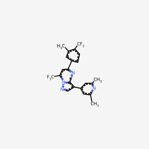 Cc1cc(-c2cnn3c(C(F)(F)F)cc(-c4ccc(C(F)(F)F)c(C)c4)nc23)cc(C)n1